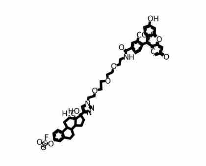 C[C@]12CCC3c4ccc(OS(=O)(=O)F)cc4CCC3C1CCC2(O)c1cn(CCOCCOCCOCCNC(=O)c2ccc(-c3c4ccc(=O)cc-4oc4cc(O)ccc34)c(C(=O)O)c2)nn1